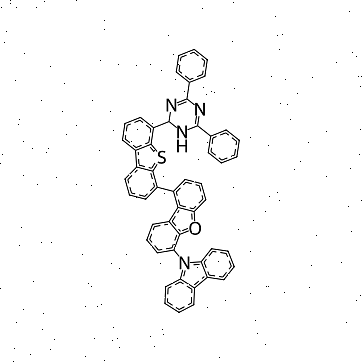 c1ccc(C2=NC(c3cccc4c3sc3c(-c5cccc6oc7c(-n8c9ccccc9c9ccccc98)cccc7c56)cccc34)NC(c3ccccc3)=N2)cc1